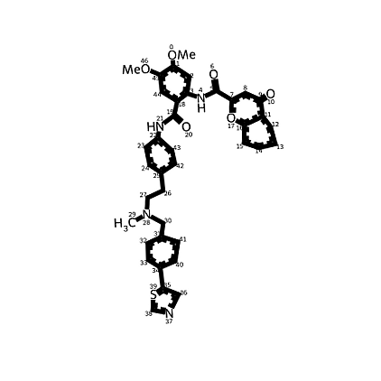 COc1cc(NC(=O)c2cc(=O)c3ccccc3o2)c(C(=O)Nc2ccc(CCN(C)Cc3ccc(-c4cncs4)cc3)cc2)cc1OC